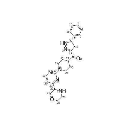 O=C(C1=NN[C@H](c2ccccc2)C1)C1CCN(c2nccc(C3COCCN3)n2)CC1